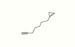 [C]#CCCCCCC1=CC1